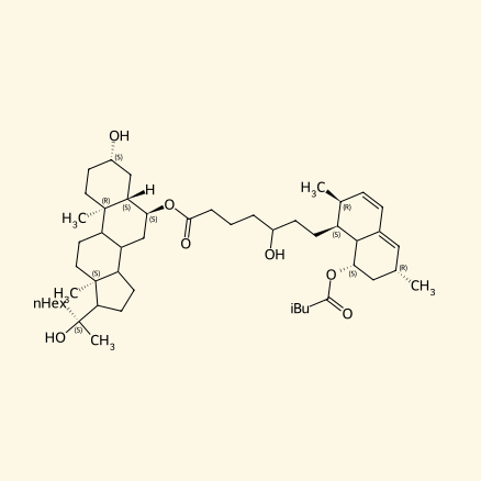 CCCCCC[C@](C)(O)C1CCC2C3C[C@H](OC(=O)CCCC(O)CC[C@@H]4C5C(=C[C@H](C)C[C@@H]5OC(=O)C(C)CC)C=C[C@@H]4C)[C@H]4C[C@@H](O)CC[C@]4(C)C3CC[C@@]21C